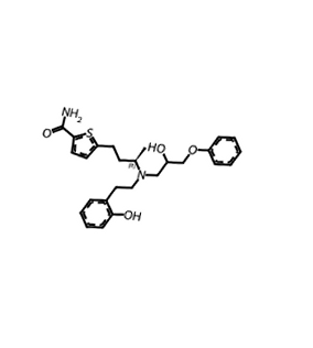 C[C@H](CCc1ccc(C(N)=O)s1)N(CCc1ccccc1O)CC(O)COc1ccccc1